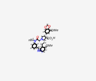 CCCCN(C(=O)CN1C[C@H](c2cc(OC)c3c(c2)OCO3)[C@@H](C(=O)O)[C@@H]1CCc1ccccc1OC)c1cccc(CN)c1